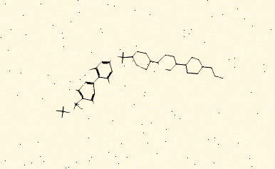 CCCC1CCC(C2CCC(C3CCC(C(F)(F)Oc4cc(F)c(-c5cc(F)c(C(F)(F)OC(F)(F)F)c(F)c5)c(F)c4)CC3)OC2)CC1